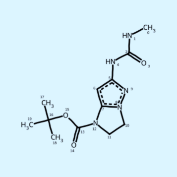 CNC(=O)Nc1cc2n(n1)CCN2C(=O)OC(C)(C)C